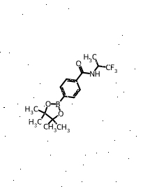 CC(NC(=O)c1ccc(B2OC(C)(C)C(C)(C)O2)cc1)C(F)(F)F